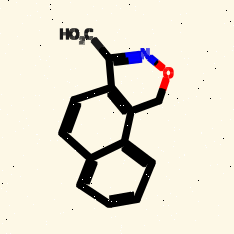 O=C(O)C1=NOCc2c1ccc1ccccc21